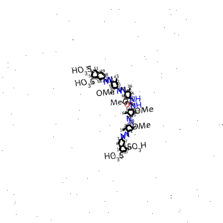 COc1cc(N=Nc2ccc3cc(S(=O)(=O)O)cc(S(=O)(=O)O)c3c2)c(C)cc1N=Nc1cc(OC)c(NC(=O)Nc2cc(C)c(N=Nc3cc(C)c(N=Nc4ccc5cc(S(=O)(=O)O)cc(S(=O)(=O)O)c5c4)cc3OC)cc2OC)cc1C